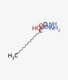 CCCCCCCCCCCCCCCCCCCC(Cc1ccccc1NC(=N)N)C(=O)O